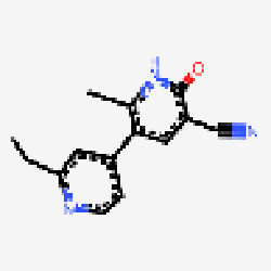 CCc1cc(-c2cc(C#N)c(=O)[nH]c2C)ccn1